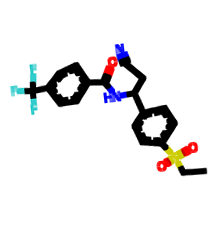 CCS(=O)(=O)c1ccc(C(CC#N)NC(=O)c2ccc(C(F)(F)F)cc2)cc1